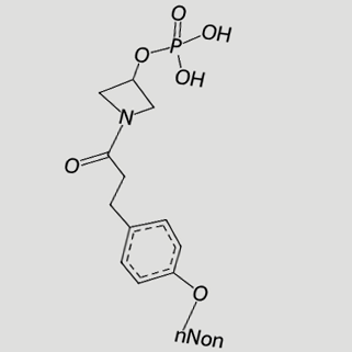 CCCCCCCCCOc1ccc(CCC(=O)N2CC(OP(=O)(O)O)C2)cc1